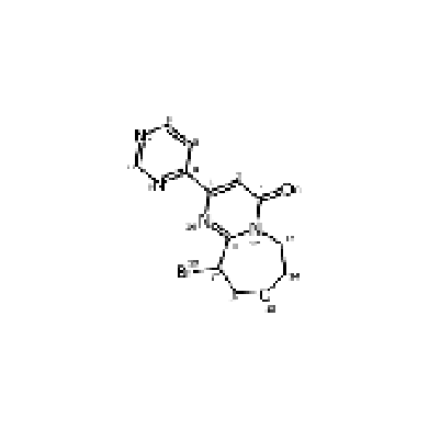 O=c1cc(-c2ccncn2)nc2n1CCOCC2Br